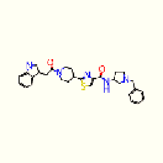 O=C(NC1CCN(Cc2ccccc2)C1)c1csc(C2CCN(C(=O)CC3C=Nc4ccccc43)CC2)n1